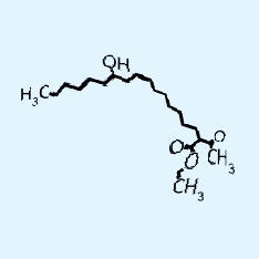 CCCCCC[C@@H](O)C/C=C\CCCCCCC(C(C)=O)C(=O)OCC